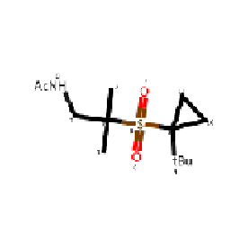 CC(=O)NCC(C)(C)S(=O)(=O)C1(C(C)(C)C)CC1